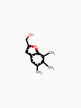 Cc1cc2cc(CO)oc2c(C)c1C